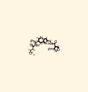 CC(C)c1nonc1C(=O)NCc1cn2ncc(C(NC(=O)CCC(F)(F)F)C(C)C)cc2n1